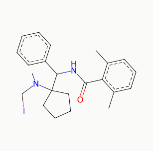 Cc1cccc(C)c1C(=O)NC(c1ccccc1)C1(N(C)CI)CCCC1